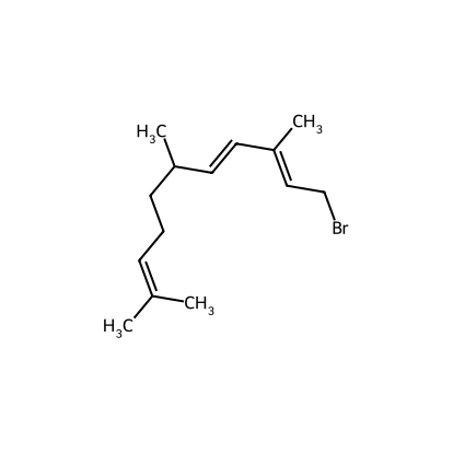 CC(C)=CCCC(C)C=CC(C)=CCBr